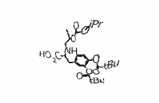 CC(C)OC(=O)OC(C)CN[C@@H](Cc1ccc(OC(=O)C(C)(C)C)c(OC(=O)C(C)(C)C)c1)C(=O)O